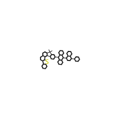 CC1(C)c2cc(-c3c4ccccc4c(-c4ccc(-c5ccccc5)c5ccccc45)c4ccccc34)ccc2-c2c1ccc1ccc3c4ccccc4sc3c21